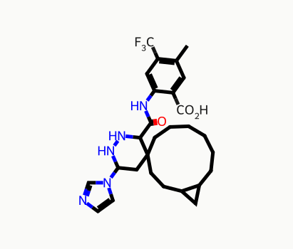 Cc1cc(C(=O)O)c(NC(=O)C2NNC(n3ccnc3)CC23CCCCCCC2CC2CC3)cc1C(F)(F)F